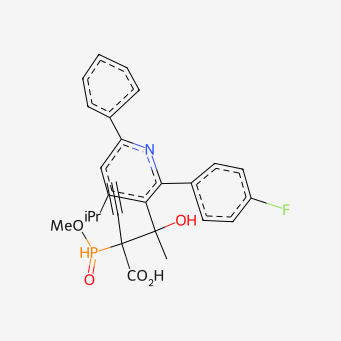 C#CC(C(=O)O)([PH](=O)OC)C(C)(O)c1c(C(C)C)cc(-c2ccccc2)nc1-c1ccc(F)cc1